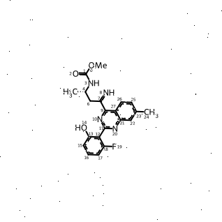 COC(=O)N[C@@H](C)CC(=N)c1nc(-c2c(O)cccc2F)nc2cc(C)ccc12